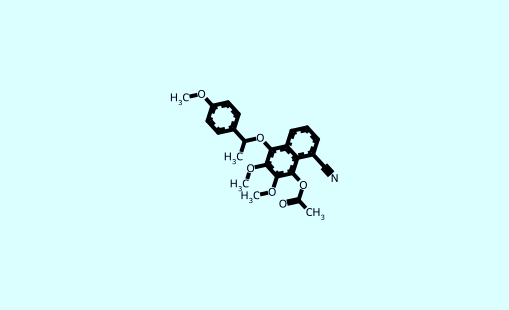 COc1ccc(C(C)Oc2c(OC)c(OC)c(OC(C)=O)c3c(C#N)cccc23)cc1